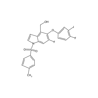 Cc1ccc(S(=O)(=O)n2ccc3c(CO)c(Oc4ccc(F)c(I)c4)c(F)cc32)cc1